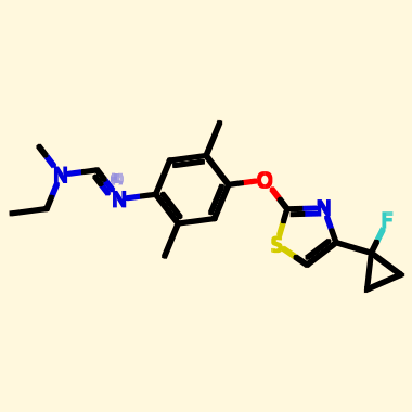 CCN(C)/C=N/c1cc(C)c(Oc2nc(C3(F)CC3)cs2)cc1C